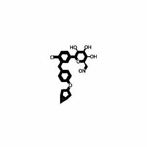 O=NC[C@H]1OC(c2ccc(Cl)c(Cc3ccc(OC4CC5CC5C4)cc3)c2)[C@H](O)[C@@H](O)[C@@H]1O